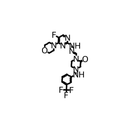 O=C1CN(Nc2cccc(C(F)(F)F)c2)CCN1/C=N/Nc1ncc(F)c(N2CCOCC2)n1